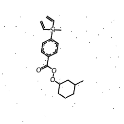 C=C[Si](C)(C=C)c1ccc(C(=O)OO[C]2CCCC(C)C2)cc1